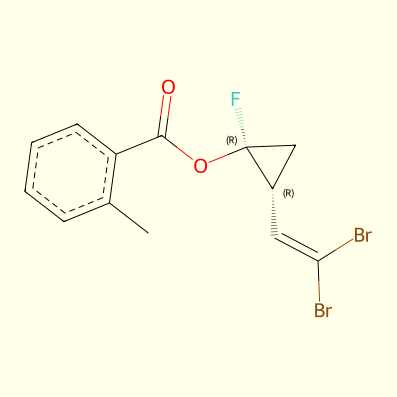 Cc1ccccc1C(=O)O[C@@]1(F)C[C@@H]1C=C(Br)Br